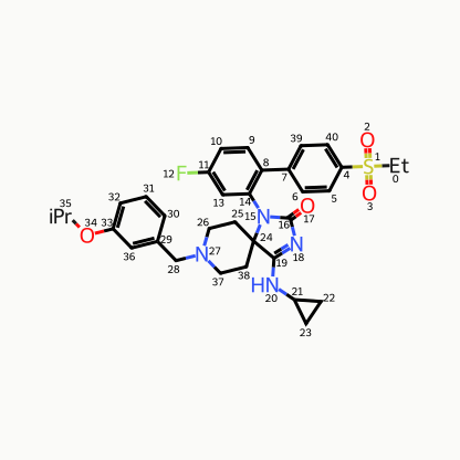 CCS(=O)(=O)c1ccc(-c2ccc(F)cc2N2C(=O)N=C(NC3CC3)C23CCN(Cc2cccc(OC(C)C)c2)CC3)cc1